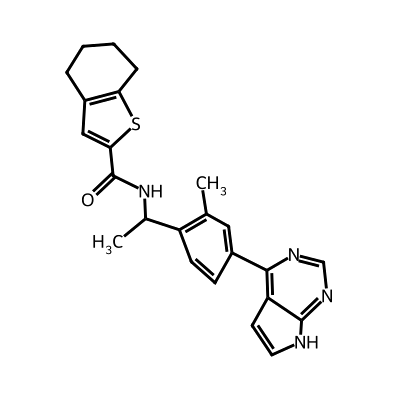 Cc1cc(-c2ncnc3[nH]ccc23)ccc1C(C)NC(=O)c1cc2c(s1)CCCC2